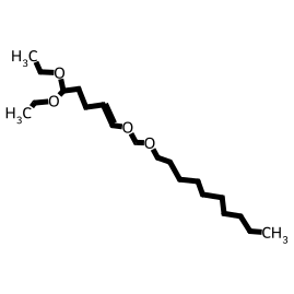 CCCCCCCCCCOCOC=CCCC(OCC)OCC